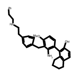 COc1ccc(-c2c(O)ccc3c2CCCC3)c(N)c1Cc1ccc(CCNCCC(C)C)cc1